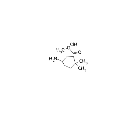 CC1(C)CCC(N)CC1.COC=O.Cl